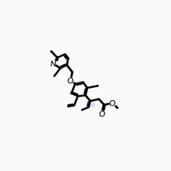 C=Cc1cc(OCc2ccc(C)nc2C)cc(C)c1/C(=C\C)CC(=O)OC